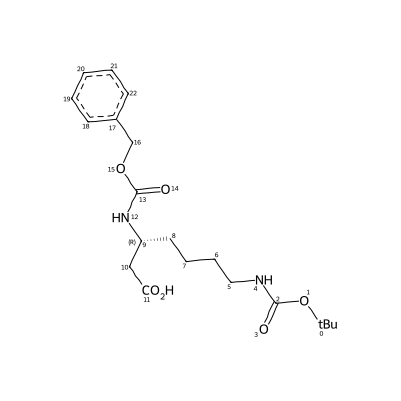 CC(C)(C)OC(=O)NCCCC[C@H](CC(=O)O)NC(=O)OCc1ccccc1